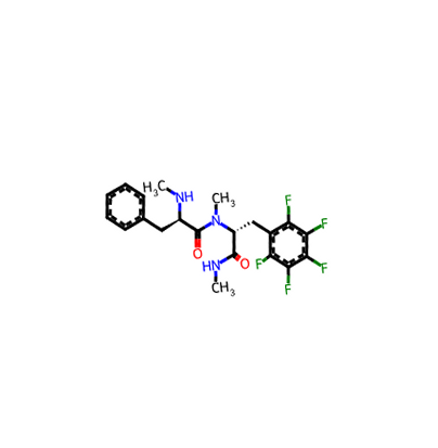 CNC(=O)[C@@H](Cc1c(F)c(F)c(F)c(F)c1F)N(C)C(=O)[C@@H](Cc1ccccc1)NC